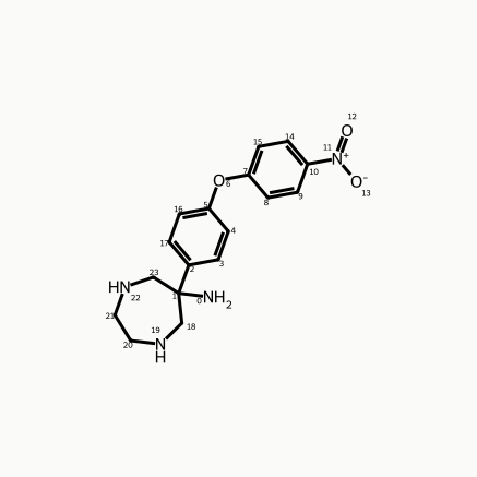 NC1(c2ccc(Oc3ccc([N+](=O)[O-])cc3)cc2)CNCCNC1